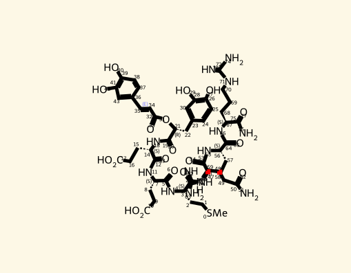 CSCC[C@H](NC(=O)[C@H](CCC(=O)O)NC(=O)[C@H](CCC(=O)O)NC(=O)[C@@H](Cc1ccc(O)c(O)c1)OC(=O)/C=C/c1ccc(O)c(O)c1)C(=O)N[C@@H](CCC(N)=O)C(=O)N[C@@H](CCCNC(=N)N)C(=O)N[C@@H](CCCNC(=N)N)C(N)=O